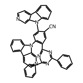 N#Cc1cc(-c2nc(-c3ccccc3)nc(-c3ccccc3)n2)c(-n2c3ccccc3c3ccncc32)cc1-n1c2ccccc2c2ccncc21